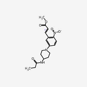 CCC(=O)NC1CCN(c2ccc([N+](=O)[O-])c(/C=C/C(=O)OC)c2)CC1